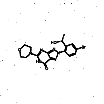 CC(O)c1cc(Br)ccc1-n1cc2c(=O)[nH]c(N3CCOCC3)nc2n1